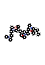 c1ccc(-c2cccc(-c3ccc(-n4c5ccccc5c5ccc(-c6cccc7c6c6cccc(-c8ccccc8-c8cccc(-c9ccc(-n%10c%11ccccc%11c%11ccc(-c%12ccc%13c%14ccccc%14n(-c%14ccccc%14)c%13c%12)cc%11%10)c%10oc%11ccccc%11c9%10)c8)c6n7-c6ccccc6)cc54)c4oc5ccccc5c34)c2)cc1